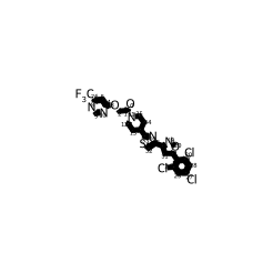 O=C(COc1cc(C(F)(F)F)ncn1)N1CCC(c2nc(C3=NOC(c4c(Cl)cc(Cl)cc4Cl)C3)cs2)CC1